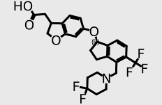 O=C(O)CC1COc2cc(O[C@@H]3CCc4c3ccc(C(F)(F)F)c4CN3CCC(F)(F)CC3)ccc21